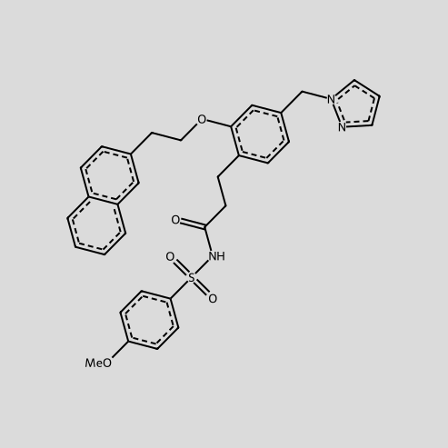 COc1ccc(S(=O)(=O)NC(=O)CCc2ccc(Cn3cccn3)cc2OCCc2ccc3ccccc3c2)cc1